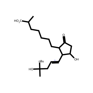 CCCCC(C)(O)C/C=C/C1C(O)CC(=O)C1CCCCCC(C)C(=O)O